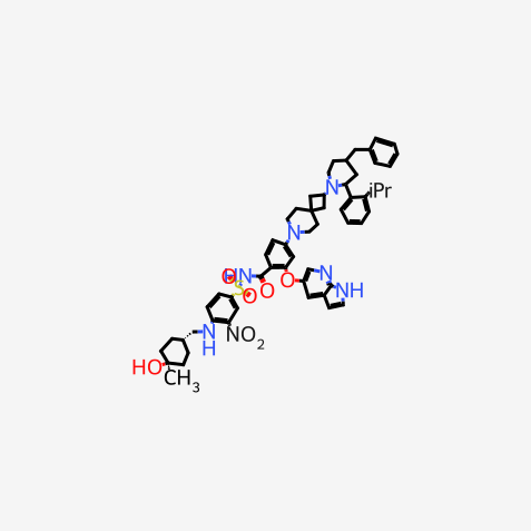 CC(C)c1ccccc1C1CC(Cc2ccccc2)CCN1C1CC2(CCN(c3ccc(C(=O)NS(=O)(=O)c4ccc(NC[C@H]5CC[C@](C)(O)CC5)c([N+](=O)[O-])c4)c(Oc4cnc5[nH]ccc5c4)c3)CC2)C1